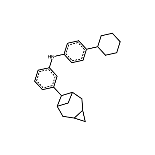 c1cc(Nc2ccc(C3CCCCC3)cc2)cc(C2C3CC4CC4CC2C3)c1